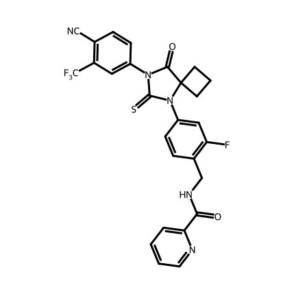 N#Cc1ccc(N2C(=O)C3(CCC3)N(c3ccc(CNC(=O)c4ccccn4)c(F)c3)C2=S)cc1C(F)(F)F